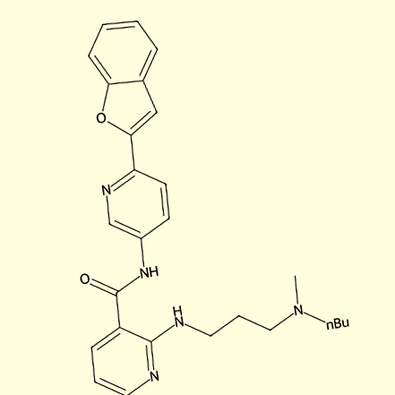 CCCCN(C)CCCNc1ncccc1C(=O)Nc1ccc(-c2cc3ccccc3o2)nc1